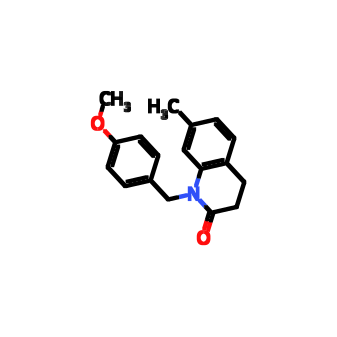 COc1ccc(CN2C(=O)CCc3ccc(C)cc32)cc1